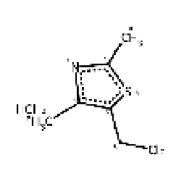 Cc1nc(C)c(CCl)s1.Cl